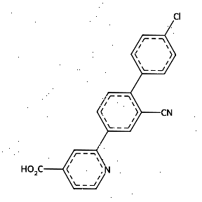 N#Cc1cc(-c2cc(C(=O)O)ccn2)ccc1-c1ccc(Cl)cc1